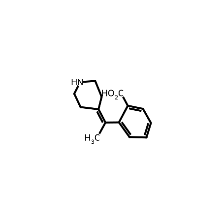 CC(=C1CCNCC1)c1ccccc1C(=O)O